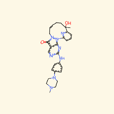 CN1CCN(c2ccc(Nc3ncc4c(=O)n5n(c4n3)-c3cccc(n3)C(C)(O)CC/C=C\C5)cc2)CC1